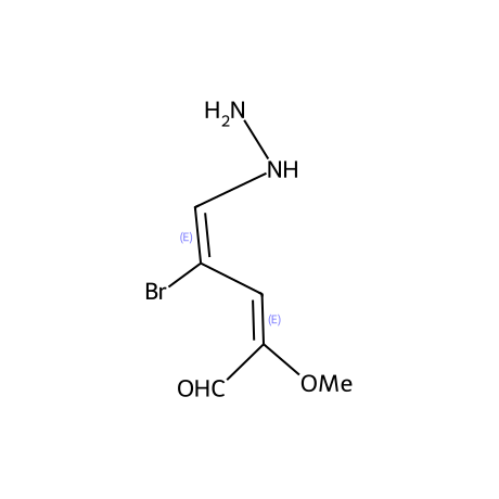 CO/C(C=O)=C/C(Br)=C\NN